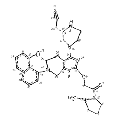 CN1CCC[C@H]1C(=S)COc1nc2c(c(N3CCN[C@@H](CC#N)C3)n1)CCN(c1cccc3cccc(Cl)c13)C2